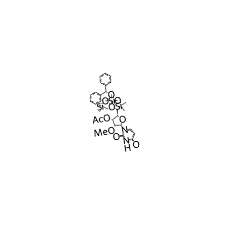 CO[C@@H]1[C@H](OC(C)=O)[C@@H](CO[Si](OC(c2ccccc2)c2ccccc2)(O[Si](C)(C)C)O[Si](C)(C)C)O[C@H]1n1ccc(=O)[nH]c1=O